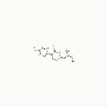 CC/C=C(O)\C=C1\CCN(c2ccc(O)nc2)C(=O)C1